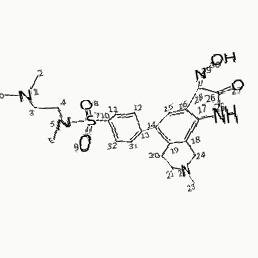 CN(C)CCN(C)S(=O)(=O)c1ccc(-c2cc3c(c4c2CCN(C)C4)NC(=O)/C3=N\O)cc1